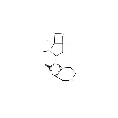 CN1C(n2c3c([nH]c2=O)CNCC3)C[C@@H]2NC[C@@H]21